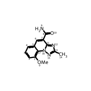 COc1cccc2cc(C(N)=O)c3nc(C)nn3c12